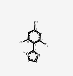 Fc1cc(F)c(-c2n[c]co2)c(F)c1